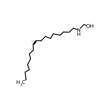 CCCCCCCC/C=C\CCCCCCCCNCO